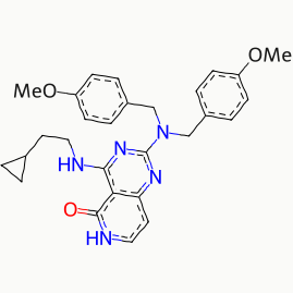 COc1ccc(CN(Cc2ccc(OC)cc2)c2nc(NCCC3CC3)c3c(=O)[nH]ccc3n2)cc1